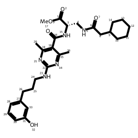 COC(=O)[C@H](CNC(=O)CC1CCCCC1)NC(=O)c1c(C)nc(NCCCc2cccc(O)c2)nc1C